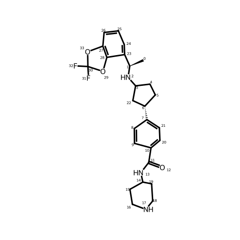 C[C@@H](NC1CC[C@H](c2ccc(C(=O)NC3CCNCC3)cc2)C1)c1cccc2c1OC(F)(F)O2